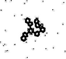 c1cc(-c2nc(-c3ccc4ccccc4c3)nc(-c3ccc4ccccc4c3)n2)cc(-c2cccc3oc4c5cnccc5ccc4c23)c1